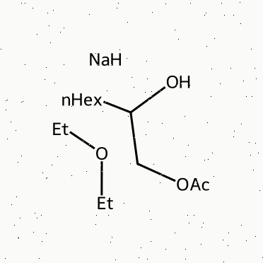 CCCCCCC(O)COC(C)=O.CCOCC.[NaH]